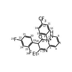 CCC1=NC2=CC=CN[N+]2(c2ccc(C(F)(F)F)cc2)C(=O)C1c1ccc(F)cc1F